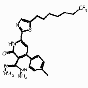 Cc1ccc(-c2cc(-c3ncc(CCCCCCC(F)(F)F)s3)[nH]c(=O)c2/C(=N/N)NN)cc1